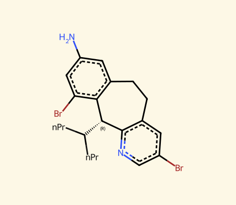 CCCC(CCC)[C@H]1c2ncc(Br)cc2CCc2cc(N)cc(Br)c21